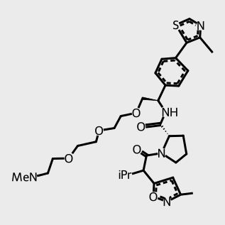 CNCCOCCOCCOC[C@H](NC(=O)[C@@H]1CCCN1C(=O)C(c1cc(C)no1)C(C)C)c1ccc(-c2scnc2C)cc1